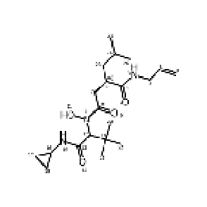 C=CCNC(=O)[C@@H](CC(=O)N(O)C(C(=O)NC1CC1)C(C)(C)C)CC(C)C